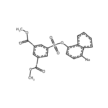 COC(=O)c1cc(C(=O)OC)cc(S(=O)(=O)Oc2cc[c]([Na])c3ccccc23)c1